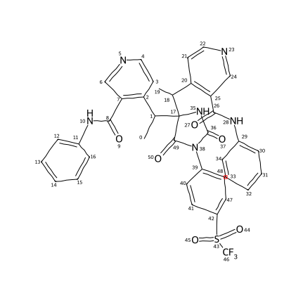 CC(c1ccncc1C(=O)Nc1ccccc1)C1(C(C)c2ccncc2C(=O)Nc2ccccc2)NC(=O)N(c2ccc(S(=O)(=O)C(F)(F)F)cc2)C1=O